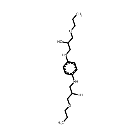 CCCOCC(O)CNc1ccc(NCC(O)COCCC)cc1